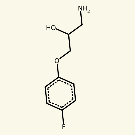 NCC(O)COc1ccc(F)cc1